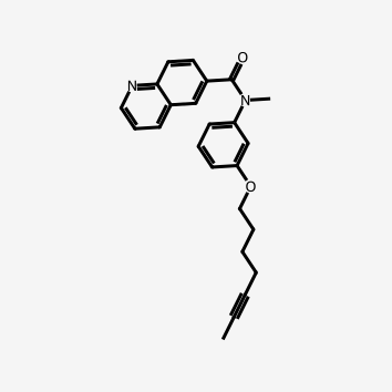 CC#CCCCCOc1cccc(N(C)C(=O)c2ccc3ncccc3c2)c1